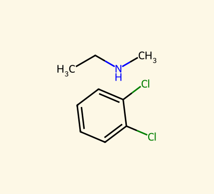 CCNC.Clc1ccccc1Cl